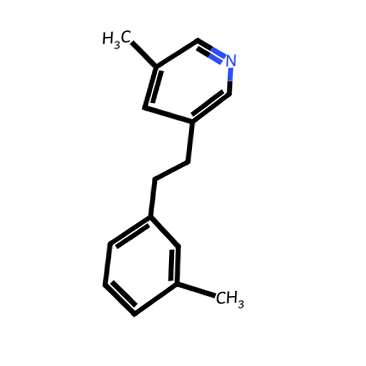 Cc1cccc(CCc2cncc(C)c2)c1